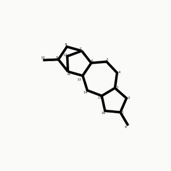 CC1CC2CCC3C4CC(C)C(C4)C3CC2C1